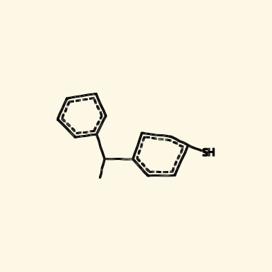 CC(c1ccccc1)c1ccc(S)cc1